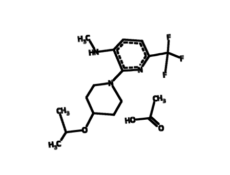 CC(=O)O.CNc1ccc(C(F)(F)F)nc1N1CCC(OC(C)C)CC1